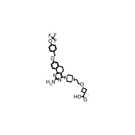 C[C@]1(C(=O)O)C[C@H](OCCN2CCN(c3nc(N)nc4c3CCc3cc(OCc5ccc(OC(F)(F)F)cc5)ccc3-4)CC2)C1